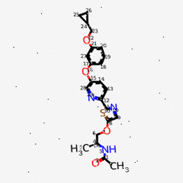 CC(=O)N[C@@H](C)COc1cnc(-c2ccc(Oc3cccc(OCC4CC4)c3)cn2)s1